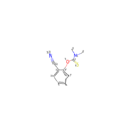 CN(C)C(=S)Oc1ccccc1C#N